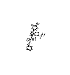 O=C(CCc1ccccc1)Nc1scc(-c2ccc(Br)cc2)c1C(=O)O